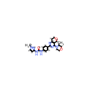 CC1COCCN1c1nc(-c2ccc(NC(=O)Nc3ccn(C)n3)cc2)nc2c1COCC2